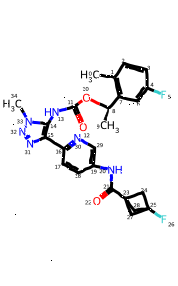 Cc1ccc(F)cc1[C@@H](C)OC(=O)Nc1c(-c2ccc(NC(=O)C34CC(F)(C3)C4)cn2)nnn1C